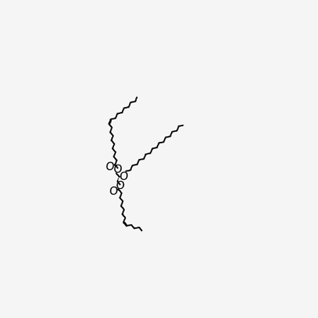 CCCC/C=C\CCCCCCCC(=O)OC[C@@H](COC(=O)CCCCCCCCC/C=C\CCCCCCCC)OCCCCCCCCCCCCCCCCCC